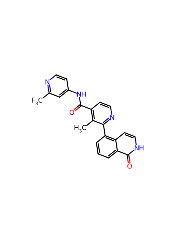 Cc1c(C(=O)Nc2ccnc(C(F)(F)F)c2)ccnc1-c1cccc2c(=O)[nH]ccc12